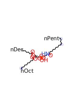 CCCCC/C=C\C/C=C\CCCCCCCC(=O)NCCOP(=O)(O)OC[C@@H](COC(=O)CCCCCCCCCCCCCCC)OC(=O)CCCCCCC/C=C\CCCCCCCC